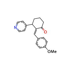 COc1ccc(C=C2C(=O)CCCC2c2ccncc2)cc1